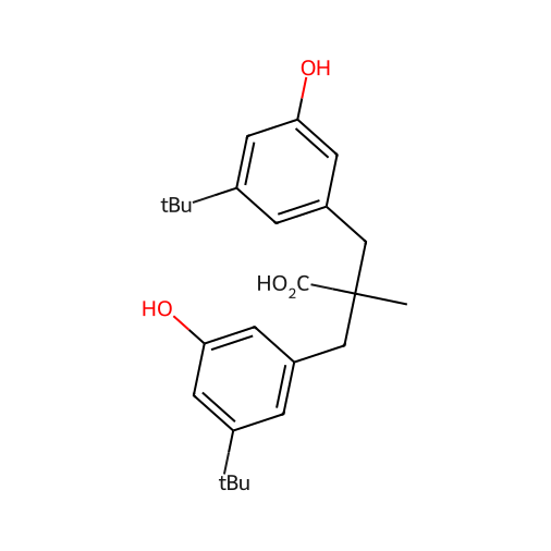 CC(Cc1cc(O)cc(C(C)(C)C)c1)(Cc1cc(O)cc(C(C)(C)C)c1)C(=O)O